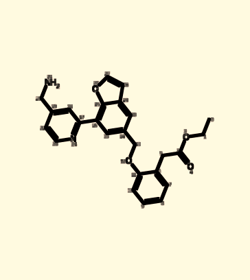 CCOC(=O)Cc1ccccc1OCc1cc(-c2cc(CN)ccn2)c2occc2c1